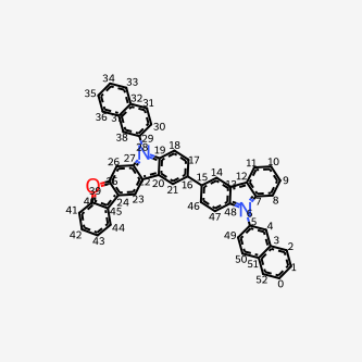 c1ccc2cc(-n3c4ccccc4c4cc(-c5ccc6c(c5)c5cc7c(cc5n6-c5ccc6ccccc6c5)oc5ccccc57)ccc43)ccc2c1